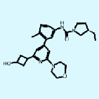 CC[C@@H]1CCN(C(=O)Nc2ccc(C)c(-c3cc(C4CC(O)C4)nc(N4CCOCC4)c3)c2)C1